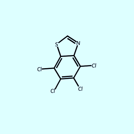 Clc1c(Cl)c(Cl)c2scnc2c1Cl